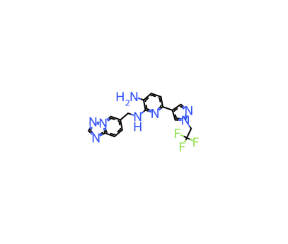 Nc1ccc(-c2cnn(CC(F)(F)F)c2)nc1NCc1ccc2ncnn2c1